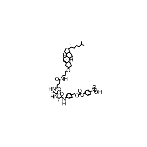 CC(C)CCC[C@@H](C)[C@H]1CCC2[C@@H]3CC=C4C[C@@H](OCCCNC(=O)CCC(=O)N[C@@H](C)C(=O)N[C@@H](C)C(=O)Nc5ccc(COC(=O)Oc6ccc([N+](=O)O)cc6)cc5)CC[C@]4(C)[C@H]3CC[C@@]21C